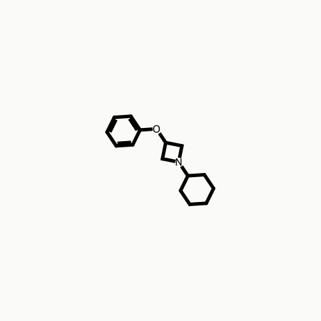 c1ccc(OC2CN(C3CCCCC3)C2)cc1